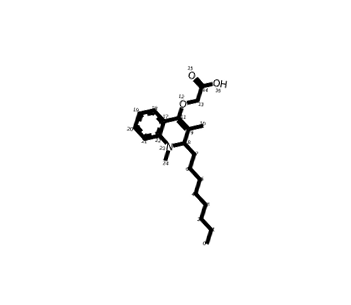 CCCCCCCCC1C(C)=C(OCC(=O)O)c2ccccc2N1C